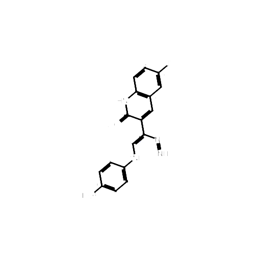 N=N/C(=C\Nc1ccc(O)cc1)c1cc2cc(F)ccc2[nH]c1=O